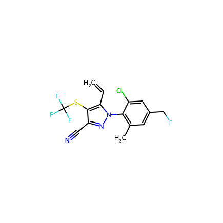 C=Cc1c(SC(F)(F)F)c(C#N)nn1-c1c(C)cc(CF)cc1Cl